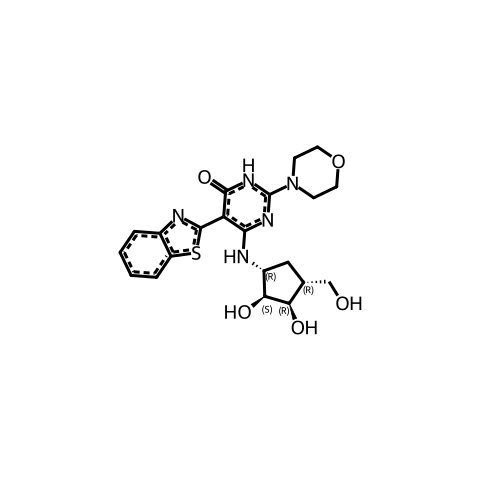 O=c1[nH]c(N2CCOCC2)nc(N[C@@H]2C[C@H](CO)[C@@H](O)[C@H]2O)c1-c1nc2ccccc2s1